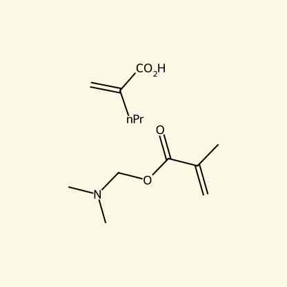 C=C(C)C(=O)OCN(C)C.C=C(CCC)C(=O)O